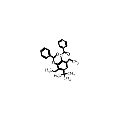 CCc1cc(C(C)(C)C)c(CC)c(OC(=O)c2ccccc2)c1OC(=O)c1ccccc1